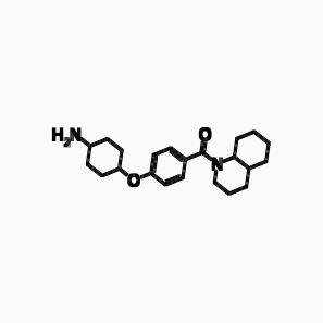 NC1CCC(Oc2ccc(C(=O)N3CCCC4CCCCC43)cc2)CC1